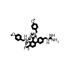 COc1ccc(CNS(=O)(=O)c2c(C(F)(F)F)ccc(-c3ccc(CNC(=N)N)cc3)c2-c2nnn(Cc3ccc(OC)cc3)n2)cc1